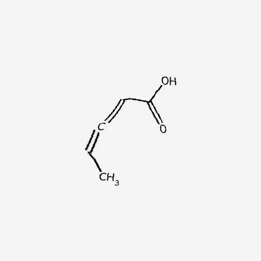 CC=C=CC(=O)O